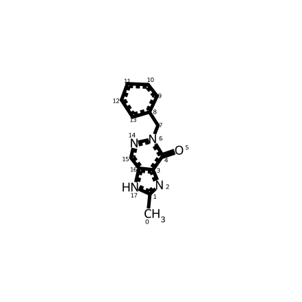 Cc1nc2c(=O)n(Cc3ccccc3)ncc2[nH]1